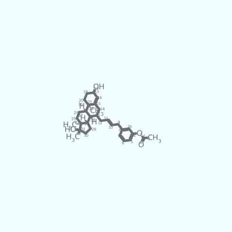 CC(=O)Oc1cccc(CC=CCC2CC3=CC(O)CC[C@]3(C)[C@@H]3CC[C@@]4(C)[C@@H](CCC4(C)O)[C@H]23)c1